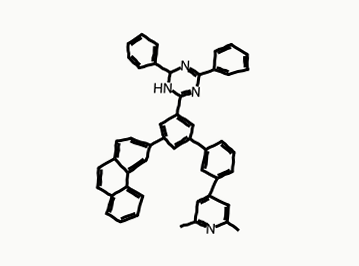 Cc1cc(-c2cccc(-c3cc(C4=NC(c5ccccc5)=NC(c5ccccc5)N4)cc(-c4ccc5ccc6ccccc6c5c4)c3)c2)cc(C)n1